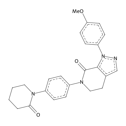 COc1ccc(-n2ncc3c2C(=O)N(c2ccc(N4CCCCC4=O)cc2)CC3)cc1